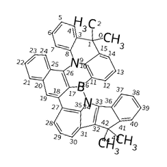 CC1(C)c2ccccc2N2c3c(cccc31)B1c3c(cc4ccccc4c32)-c2cccc3c4c(n1c23)-c1ccccc1C4(C)C